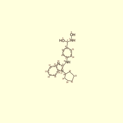 ONC(O)c1ccc(Nc2nc3ccccc3n2C2CCCCC2)cc1